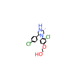 C[C@@H]1CN(c2ccc(OCCO)cc2Cl)C(c2ccc(Cl)cc2)CN1